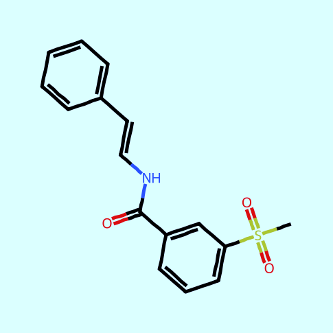 CS(=O)(=O)c1cccc(C(=O)NC=Cc2ccccc2)c1